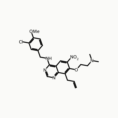 C=CCc1c(OCCN(C)C)c([N+](=O)[O-])cc2c(NCc3ccc(OC)c(Cl)c3)ncnc12